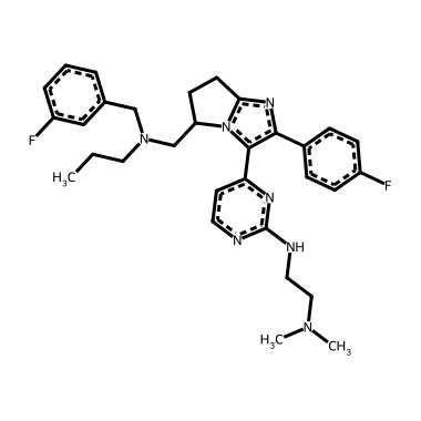 CCCN(Cc1cccc(F)c1)CC1CCc2nc(-c3ccc(F)cc3)c(-c3ccnc(NCCN(C)C)n3)n21